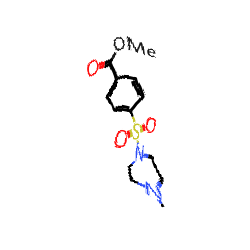 COC(=O)c1ccc(S(=O)(=O)N2CCN(C)CC2)cc1